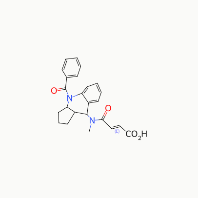 CN(C(=O)/C=C/C(=O)O)C1c2ccccc2N(C(=O)c2ccccc2)C2CCCC12